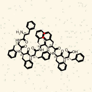 N[C@H](Cc1ccccc1)C(=O)N[C@@H](Cc1ccccc1)C(=O)N[C@H](Cc1ccccc1)C(=O)N[C@@H](Cc1ccccc1)C(=O)N[C@H](Cc1ccccc1)C(=O)N[C@@H](Cc1ccccc1)C(=O)N[C@H](Cc1ccccc1)C(=O)N[C@@H](Cc1ccccc1)C(=O)O